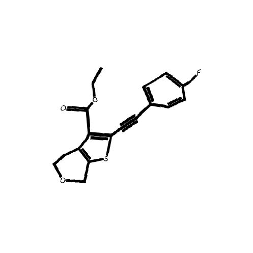 CCOC(=O)c1c(C#Cc2ccc(F)cc2)sc2c1CCOC2